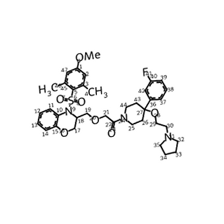 COc1cc(C)c(S(=O)(=O)N2c3ccccc3OCC2COCC(=O)N2CCC(OCCN3CCCC3)(c3cccc(F)c3)CC2)c(C)c1